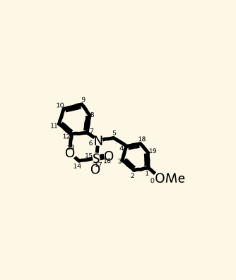 COc1ccc(CN2c3ccccc3OCS2(=O)=O)cc1